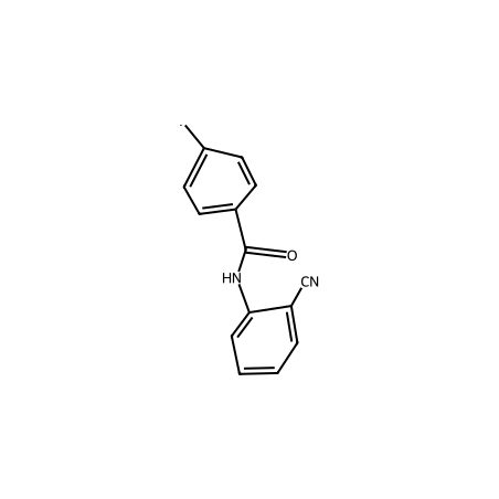 [CH2]c1ccc(C(=O)Nc2ccccc2C#N)cc1